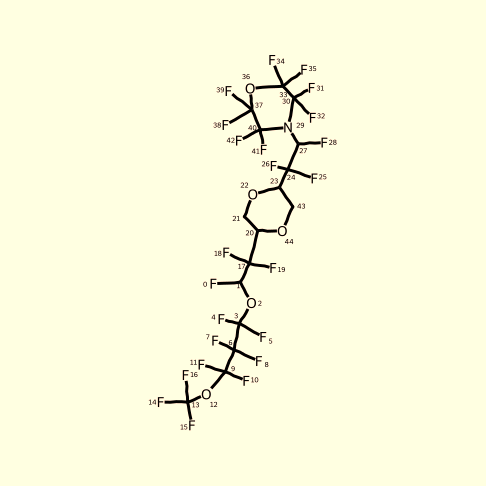 FC(OC(F)(F)C(F)(F)C(F)(F)OC(F)(F)F)C(F)(F)C1COC(C(F)(F)C(F)N2C(F)(F)C(F)(F)OC(F)(F)C2(F)F)CO1